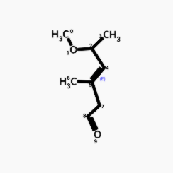 COC(C)/C=C(\C)CC=O